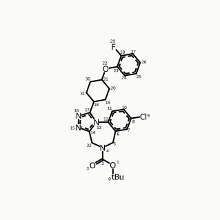 CC(C)(C)OC(=O)N1Cc2cc(Cl)ccc2-n2c(nnc2C2CCC(Oc3ccccc3F)CC2)C1